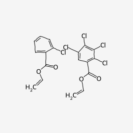 C=COC(=O)c1cc(Cl)c(Cl)c(Cl)c1Cl.C=COC(=O)c1ccccc1Cl